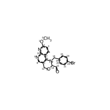 COc1ccc2c3c(cnc2n1)COC(C=O)N3Cc1ccc(Br)cc1